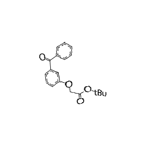 CC(C)(C)OC(=O)COc1cccc(C(=O)c2ccccc2)c1